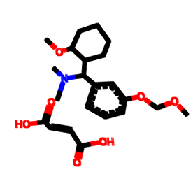 COCOc1cccc(C(C2CCCCC2OC)N(C)C)c1.O=C(O)C=CC(=O)O